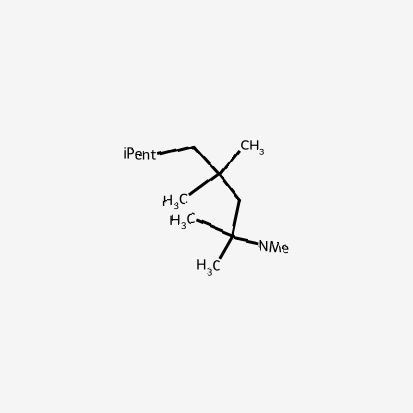 CCCC(C)CC(C)(C)CC(C)(C)NC